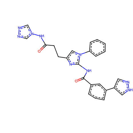 O=C(CCc1cn(-c2ccccc2)c(NC(=O)c2cccc(-c3cn[nH]c3)c2)n1)Nn1cnnc1